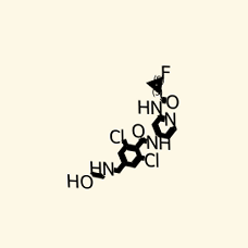 O=C(Nc1ccnc(NC(=O)[C@@H]2C[C@@H]2F)c1)c1c(Cl)cc(CNCCO)cc1Cl